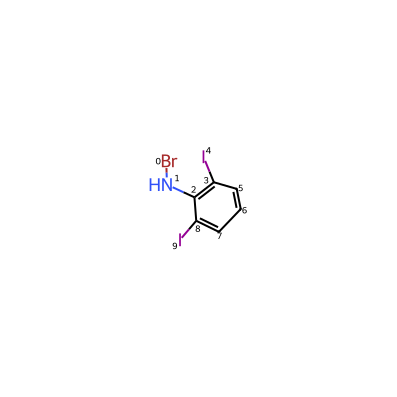 BrNc1c(I)cccc1I